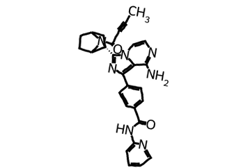 CC#CC(=O)N1C2CCC1[C@@H](c1nc(-c3ccc(C(=O)Nc4ccccn4)cc3)c3c(N)nccn13)C2